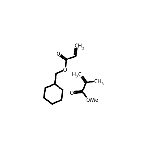 C=C(C)C(=O)OC.C=CC(=O)OCC1CCCCC1